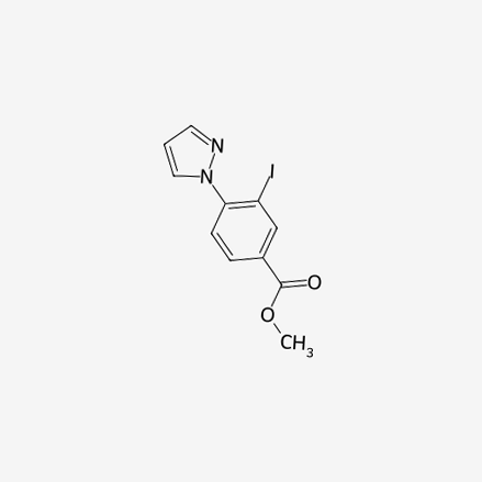 COC(=O)c1ccc(-n2cccn2)c(I)c1